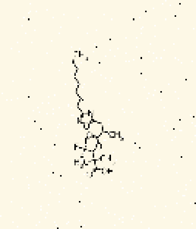 C=C(Cc1nc(CCCCCCCC)no1)C(=O)OC(C(F)(F)F)C(C)(C)C(=O)O